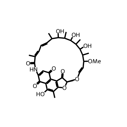 COC1/C=C/OC2(C)Oc3c(C)c(O)c4c(c3C2=O)C(=O)C=C(NC(=O)/C(C)=C/C=C/C(C)C(O)C(C)C(O)C(C)C(O)C1C)C4=O